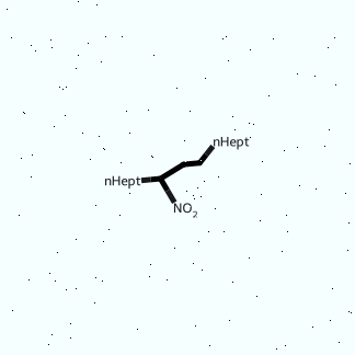 CCCCCCCCCC(CCCCCCC)[N+](=O)[O-]